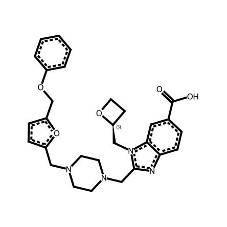 O=C(O)c1ccc2nc(CN3CCN(Cc4ccc(COc5ccccc5)o4)CC3)n(C[C@@H]3CCO3)c2c1